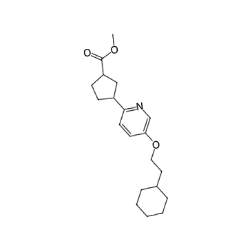 COC(=O)C1CCC(c2ccc(OCCC3CCCCC3)cn2)C1